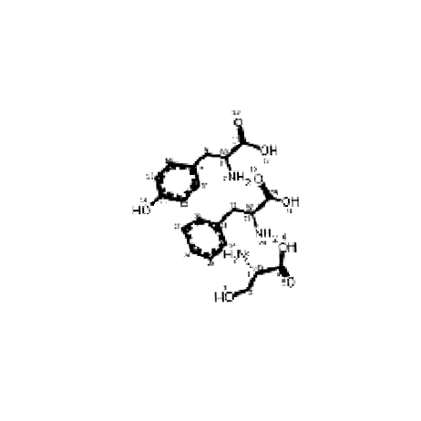 N[C@@H](CO)C(=O)O.N[C@@H](Cc1ccc(O)cc1)C(=O)O.N[C@@H](Cc1ccccc1)C(=O)O